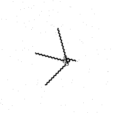 [CH2]CCCc1cc(OCCCCCCCCCCCCCCCCCCC)c(OCCCCCCCCCCCCCCCCCCC)c(OCCCCCCCCCCCCCCCCCCC)c1